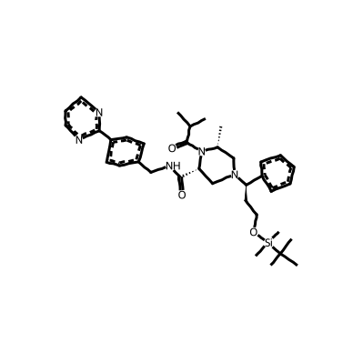 CC(C)C(=O)N1[C@H](C)CN([C@H](CCO[Si](C)(C)C(C)(C)C)c2ccccc2)C[C@@H]1C(=O)NCc1ccc(-c2ncccn2)cc1